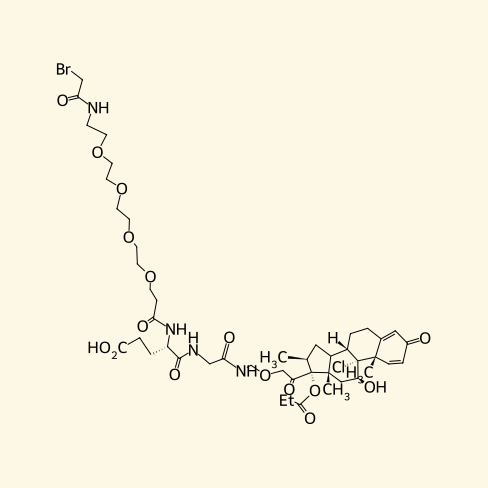 CCC(=O)O[C@]1(C(=O)COCNC(=O)CNC(=O)[C@H](CCC(=O)O)NC(=O)CCOCCOCCOCCOCCNC(=O)CBr)[C@@H](C)CC2[C@@H]3CCC4=CC(=O)C=C[C@]4(C)[C@@]3(Cl)[C@@H](O)C[C@@]21C